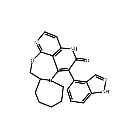 O=c1[nH]c2ccnc3c2c(c1-c1cccc2[nH]ncc12)N1CCCCCC1CO3